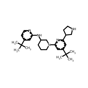 CC(C)(C)c1ccnc(NC2CCCN(c3cc(C(C)(C)C)cc(C4CCNC4)n3)C2)c1